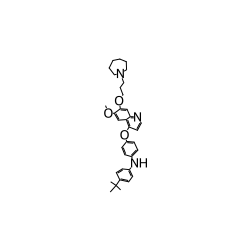 COc1cc2c(Oc3ccc(Nc4ccc(C(C)(C)C)cc4)cc3)ccnc2cc1OCCCN1CCCCCC1